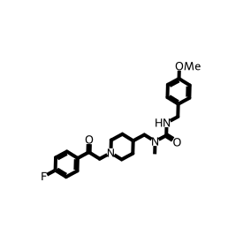 COc1ccc(CNC(=O)N(C)CC2CCN(CC(=O)c3ccc(F)cc3)CC2)cc1